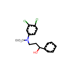 CCOC(=O)N(CCC(O)c1ccccc1)c1ccc(Cl)c(Cl)c1